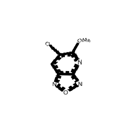 COc1nc2nonc2cc1Cl